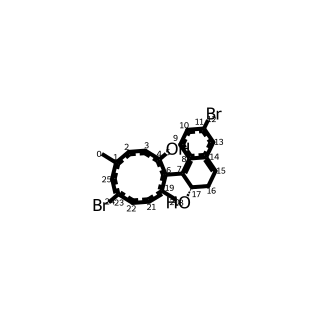 Cc1ccc(O)c(C2=c3ccc(Br)cc3=CC[C@@H]2O)c(C)ccc(Br)c1